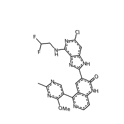 COc1nc(C)ncc1-c1nccc2[nH]c(=O)c(-c3nc4c(NCC(F)F)nc(Cl)cc4[nH]3)cc12